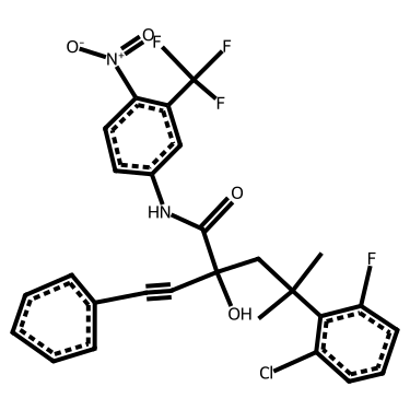 CC(C)(CC(O)(C#Cc1ccccc1)C(=O)Nc1ccc([N+](=O)[O-])c(C(F)(F)F)c1)c1c(F)cccc1Cl